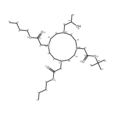 CCCCOC(=O)CN1CCN(CC(=O)OCCCC)CCN(CC(C)O)CCN(CC(=O)OC(C)(C)C)CC1